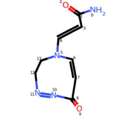 NC(=O)C=CN1C=CC(=O)N=NCC1